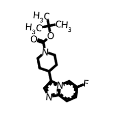 CC(C)(C)OC(=O)N1CCC(c2cnc3ccc(F)cn23)CC1